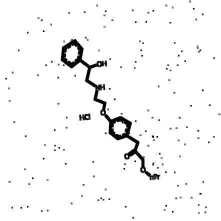 CCCOCC(=O)Cc1ccc(OCCNCC(O)c2ccccc2)cc1.Cl